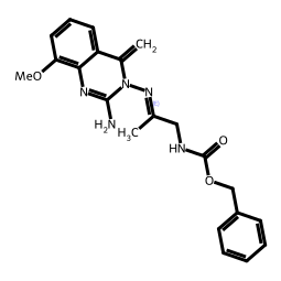 C=C1c2cccc(OC)c2N=C(N)N1/N=C(\C)CNC(=O)OCc1ccccc1